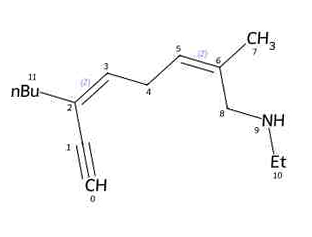 C#C/C(=C\C/C=C(/C)CNCC)CCCC